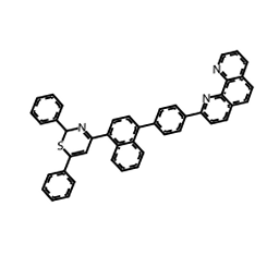 C1=C(c2ccccc2)SC(c2ccccc2)N=C1c1ccc(-c2ccc(-c3ccc4ccc5cccnc5c4n3)cc2)c2ccccc12